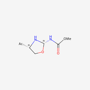 COC(=O)N[C@H]1N[C@@H](C(C)=O)CO1